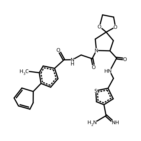 Cc1cc(C(=O)NCC(=O)N2CC3(CC2C(=O)NCc2cc(C(=N)N)cs2)OCCO3)ccc1C1C=CC=CC1